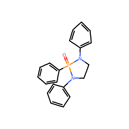 O=P1(c2ccccc2)N(c2ccccc2)CCN1c1ccccc1